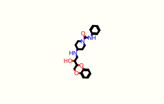 O=C(Nc1ccccc1)N1CCC(NCC(O)C2COc3ccccc3O2)CC1